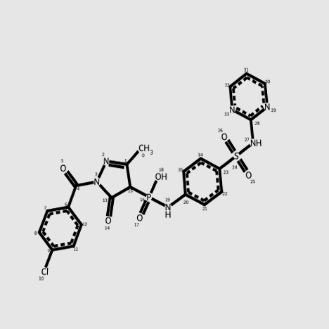 CC1=NN(C(=O)c2ccc(Cl)cc2)C(=O)C1P(=O)(O)Nc1ccc(S(=O)(=O)Nc2ncccn2)cc1